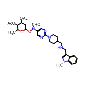 CC(=O)OC1CC(ON(C=O)c2cnc(N3CCC(CNCc4cn(C)c5ccccc45)CC3)nc2)OC(C)C1OC(C)=O